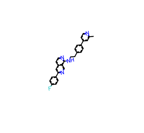 Cc1cc(-c2ccc(CCNc3nccc4cc(-c5ccc(F)cc5)ncc34)cc2)ccn1